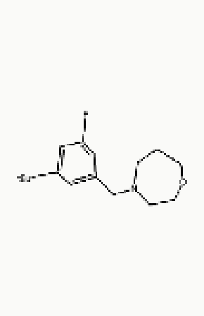 CC(C)(C)c1cc(F)cc(CN2CCCOCC2)c1